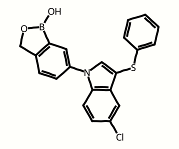 OB1OCc2ccc(-n3cc(Sc4ccccc4)c4cc(Cl)ccc43)cc21